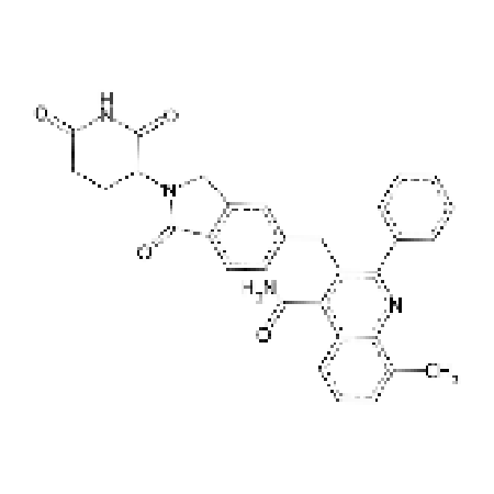 Cc1cccc2c(C(N)=O)c(Cc3ccc4c(c3)CN(C3CCC(=O)NC3=O)C4=O)c(-c3ccccc3)nc12